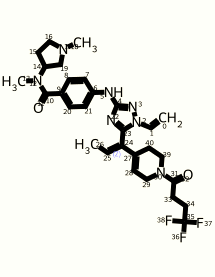 C=Cn1nc(Nc2ccc(C(=O)N(C)C3CCN(C)C3)cc2)nc1/C(=C\C)C1=CCN(C(=O)CCC(F)(F)F)CC1